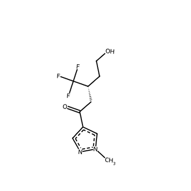 Cn1cc(C(=O)C[C@@H](CCO)C(F)(F)F)cn1